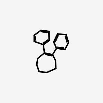 c1ccc(C2=C(c3ccccc3)CCCCCC2)cc1